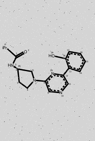 CC(C)C(=O)N[C@@H]1CCN(c2cncc(-c3ccccc3O)n2)C1